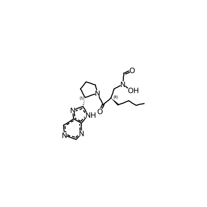 CCCC[C@H](CN(O)C=O)C(=O)N1CCC[C@H]1c1nc2cncnc2[nH]1